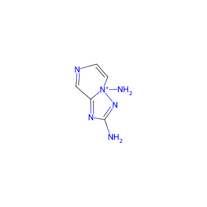 NC1=N[N+]2(N)C=CN=CC2=N1